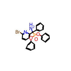 NC(c1ccccc1)(c1cccc(Br)n1)P(=O)(Oc1ccccc1)Oc1ccccc1